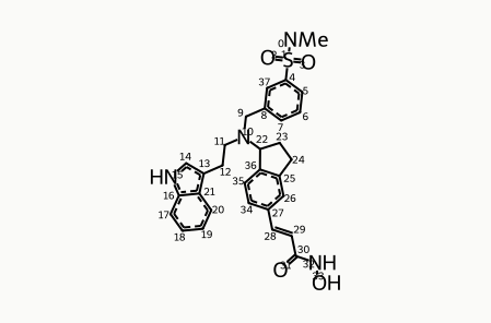 CNS(=O)(=O)c1cccc(CN(CCc2c[nH]c3ccccc23)C2CCc3cc(C=CC(=O)NO)ccc32)c1